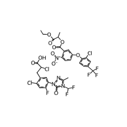 CCOC(=O)C(C)OC(=O)c1cc(Oc2ccc(C(F)(F)F)cc2Cl)ccc1[N+](=O)[O-].Cc1nn(-c2cc(CC(Cl)C(=O)O)c(Cl)cc2F)c(=O)n1C(F)F